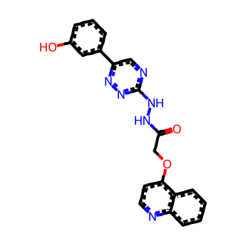 O=C(COc1ccnc2ccccc12)NNc1ncc(-c2cccc(O)c2)nn1